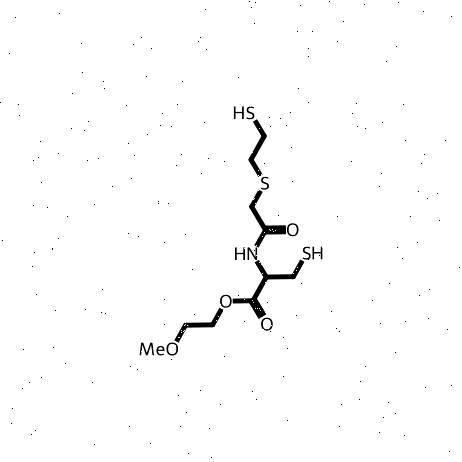 COCCOC(=O)C(CS)NC(=O)CSCCS